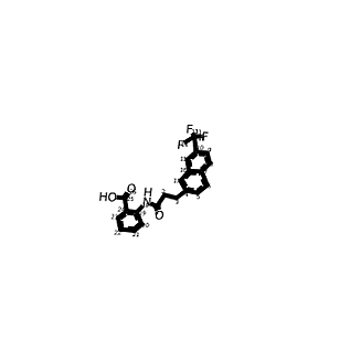 O=C(CCc1ccc2ccc(C(F)(F)F)cc2c1)Nc1ccccc1C(=O)O